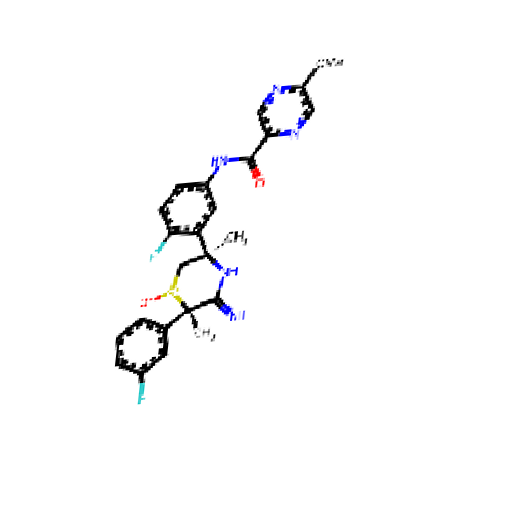 COc1cnc(C(=O)Nc2ccc(F)c([C@]3(C)C[S+]([O-])[C@@](C)(c4cccc(F)c4)C(=N)N3)c2)cn1